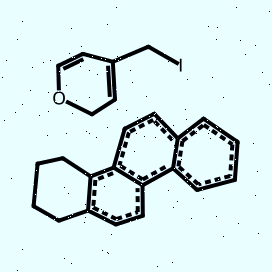 ICC1=CCOC=C1.c1ccc2c(c1)ccc1c3c(ccc12)CCCC3